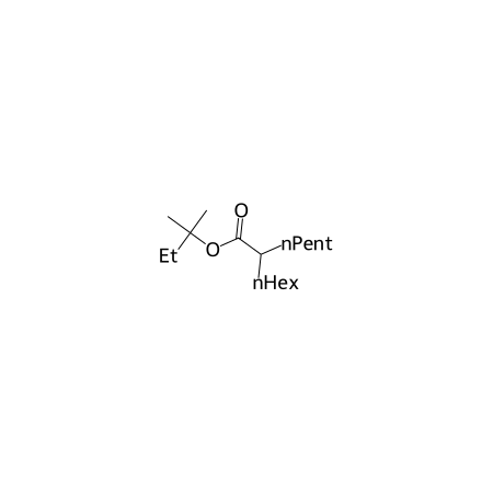 CCCCCCC(CCCCC)C(=O)OC(C)(C)CC